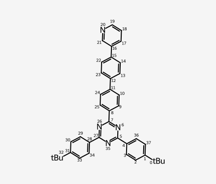 CC(C)(C)c1ccc(-c2nc(-c3ccc(-c4ccc(-c5cccnc5)cc4)cc3)nc(-c3ccc(C(C)(C)C)cc3)n2)cc1